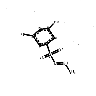 C[SH]=NS(=O)(=O)c1cc(F)cc(F)c1